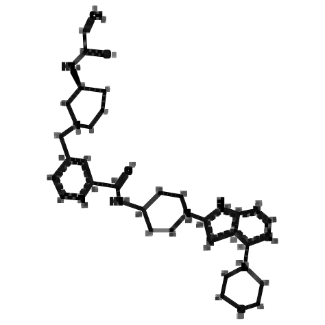 C=CC(=O)N[C@H]1CCCN(Cc2ccnc(C(=O)NC3CCN(c4nc5c(N6CCOCC6)ncnc5[nH]4)CC3)c2)C1